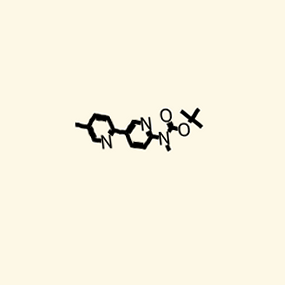 Cc1ccc(-c2ccc(N(C)C(=O)OC(C)(C)C)nc2)nc1